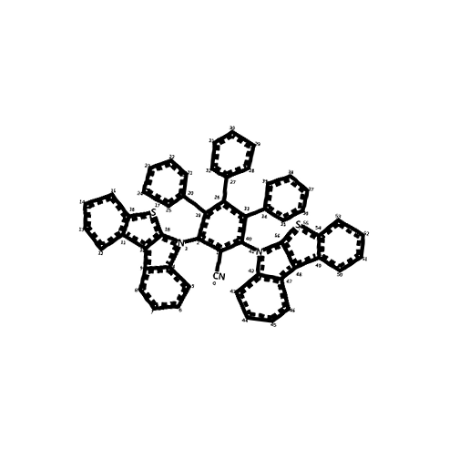 N#Cc1c(-n2c3ccccc3c3c4ccccc4sc32)c(-c2ccccc2)c(-c2ccccc2)c(-c2ccccc2)c1-n1c2ccccc2c2c3ccccc3sc21